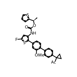 COc1cc(-c2sc(F)cc2NC(=O)O[C@H](C)c2cccs2)ccc1-c1ccc(C2(C(C)=O)CC2)cc1